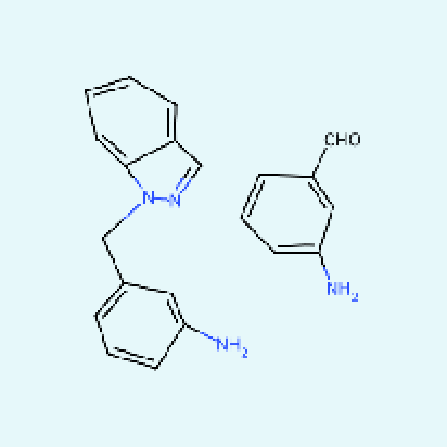 Nc1cccc(C=O)c1.Nc1cccc(Cn2ncc3ccccc32)c1